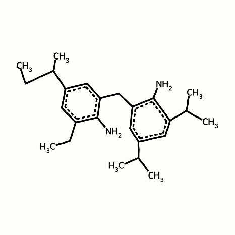 CCc1cc(C(C)CC)cc(Cc2cc(C(C)C)cc(C(C)C)c2N)c1N